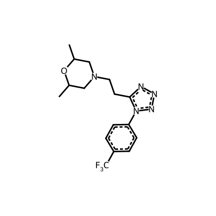 CC1CN(CCc2nnnn2-c2ccc(C(F)(F)F)cc2)CC(C)O1